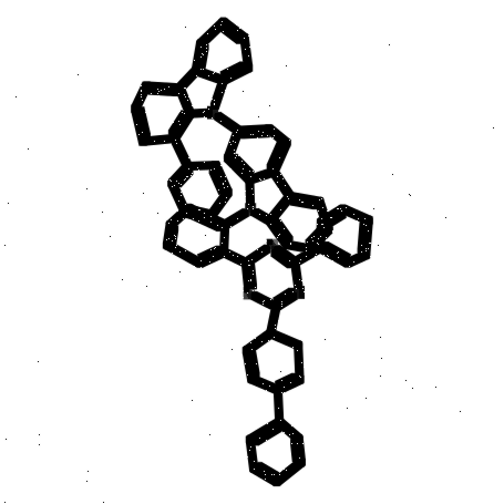 C1=CC(c2nc(-c3ccccc3)nc(-c3ccccc3-n3c4ccccc4c4ccc(-n5c6ccccc6c6cccc(-c7ccccc7)c65)cc43)n2)CC=C1c1ccccc1